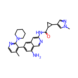 Cc1ccnc(N2CCCCC2)c1-c1cc(N)c2cnc(NC(=O)C3CC3c3cnn(C)c3)cc2c1